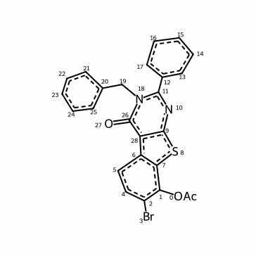 CC(=O)Oc1c(Br)ccc2c1sc1nc(-c3ccccc3)n(Cc3ccccc3)c(=O)c12